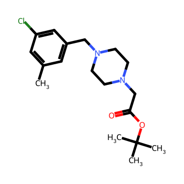 Cc1cc(Cl)cc(CN2CCN(CC(=O)OC(C)(C)C)CC2)c1